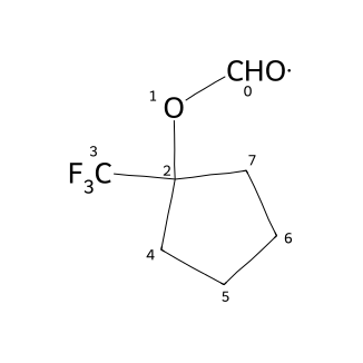 O=[C]OC1(C(F)(F)F)CCCC1